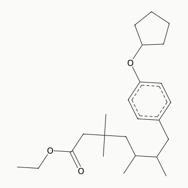 CCOC(=O)CC(C)(C)CC(C)C(C)Cc1ccc(OC2CCCC2)cc1